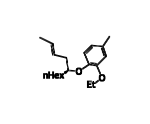 C/C=C/C[C@H](CCCCCC)Oc1ccc(C)cc1OCC